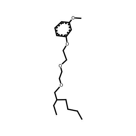 CCCCC(CC)COCCOCCOc1cccc(OC)c1